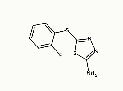 Nc1nnc(Sc2ccccc2F)s1